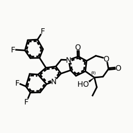 CC[C@@]1(O)CC(=O)OCc2c1cc1n(c2=O)Cc2c-1nc1cc(F)c(F)cc1c2-c1cc(F)cc(F)c1